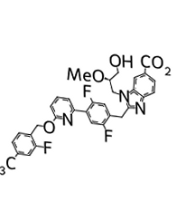 CO[C@@H](CO)Cn1c(Cc2cc(F)c(-c3cccc(OCc4ccc(C)cc4F)n3)cc2F)nc2ccc(C(=O)O)cc21